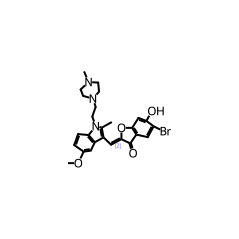 COc1ccc2c(c1)c(/C=C1\Oc3cc(O)c(Br)cc3C1=O)c(C)n2CCN1CCN(C)CC1